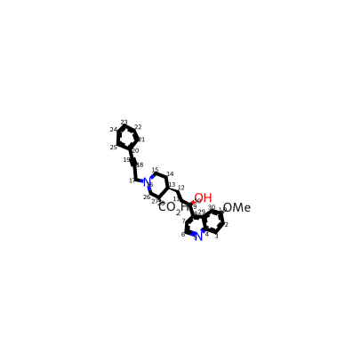 COc1ccc2nccc(C(O)CC[C@@H]3CCN(CC#Cc4ccccc4)C[C@@H]3C(=O)O)c2c1